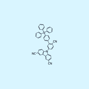 N#Cc1ccc2c(c1)c1cc(C#N)ccc1n2-c1ccc(C#N)c(-c2ccc([Si](c3ccccc3)(c3ccccc3)c3ccccc3)cc2)c1